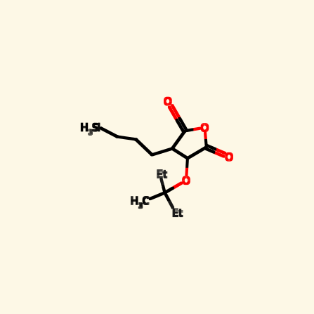 CCC(C)(CC)OC1C(=O)OC(=O)C1CCC[SiH3]